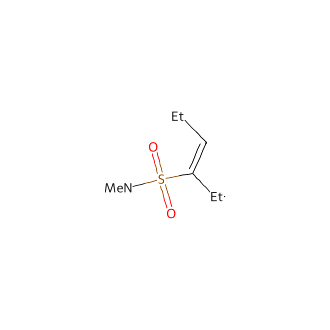 C[CH]C(=CCC)S(=O)(=O)NC